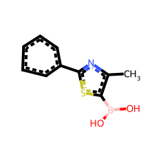 Cc1nc(-c2ccccc2)sc1B(O)O